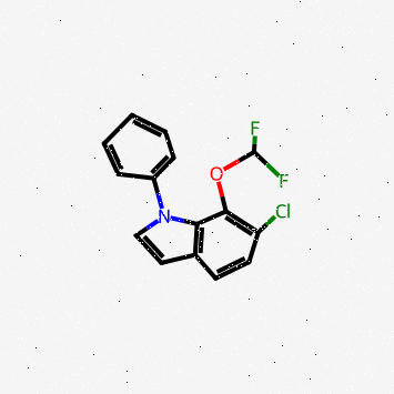 FC(F)Oc1c(Cl)ccc2ccn(-c3ccccc3)c12